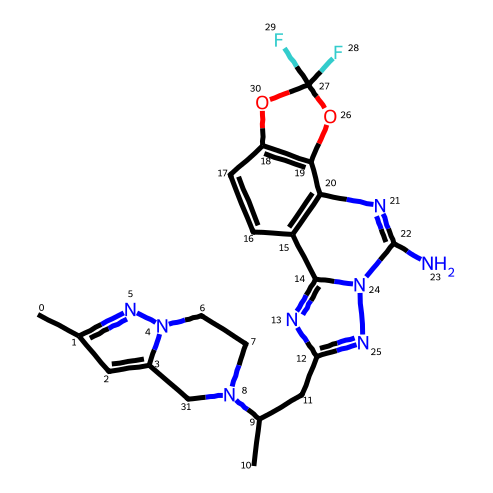 Cc1cc2n(n1)CCN(C(C)Cc1nc3c4ccc5c(c4nc(N)n3n1)OC(F)(F)O5)C2